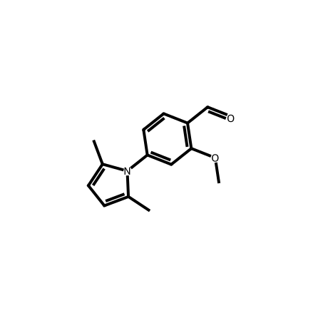 COc1cc(-n2c(C)ccc2C)ccc1C=O